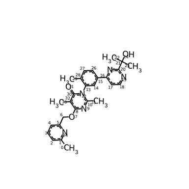 Cc1cccc(COc2nc(C)n(-c3cc(-c4ccnc(C(C)(C)O)n4)ccc3C)c(=O)c2C)n1